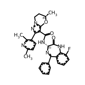 Cc1ccc(-c2nn3c(c2C(=O)N[C@H]2N=C(c4ccccc4)c4cccc(F)c4NC2=O)O[C@H](C)CC3)c(C)n1